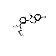 CC(OCC(F)(F)F)c1cncc(N2CCc3cc(Cl)ccc3C2=O)c1